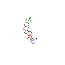 O=C(O)C1CC2CC[C@H](C1)N2CCc1ccc2c(Cl)c(O[C@H]3CC[C@@H](C(F)(F)F)CC3)ccc2c1